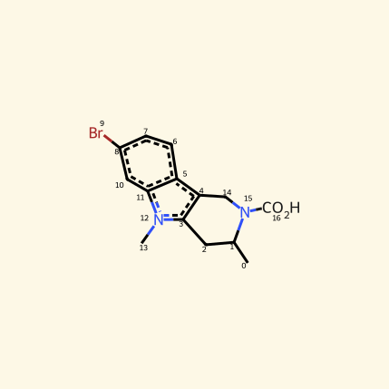 CC1Cc2c(c3ccc(Br)cc3n2C)CN1C(=O)O